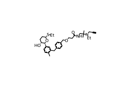 C#CCN(CC)C(C)(C)CNC(=O)CCOCc1ccc(Cc2cc([C@@H]3O[C@H](SCC)CC[C@H]3O)ccc2C)cc1